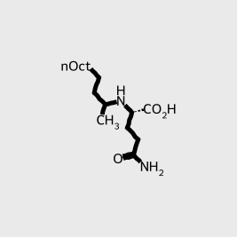 CCCCCCCCCCC(C)N[C@@H](CCC(N)=O)C(=O)O